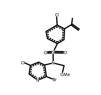 C=C(C)c1cc(S(=O)(=O)N(COC)c2cc(Cl)cnc2Br)ccc1Cl